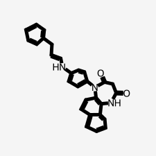 O=C1CC(=O)N(c2ccc(NC=CCc3ccccc3)cc2)c2ccc3ccccc3c2N1